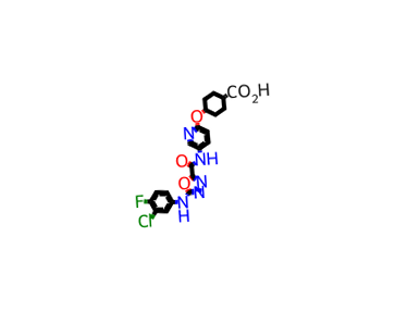 O=C(Nc1ccc(OC2CCC(C(=O)O)CC2)nc1)c1nnc(Nc2ccc(F)c(Cl)c2)o1